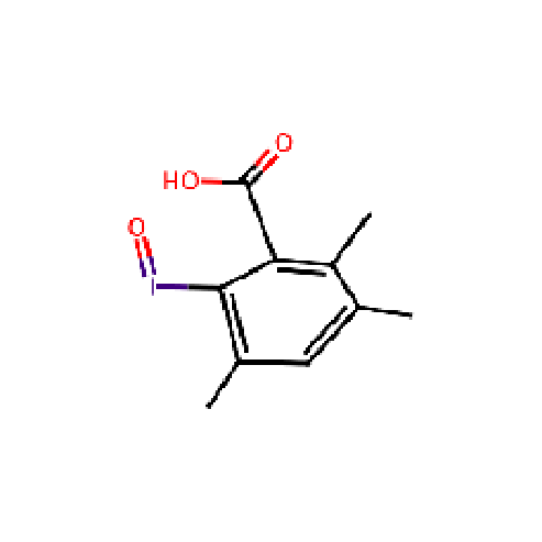 Cc1cc(C)c(I=O)c(C(=O)O)c1C